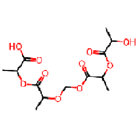 CC(O)C(=O)OC(C)C(=O)OCOC(C)C(=O)OC(C)C(=O)O